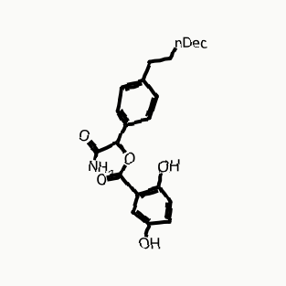 CCCCCCCCCCCCc1ccc(C(OC(=O)c2cc(O)ccc2O)C(N)=O)cc1